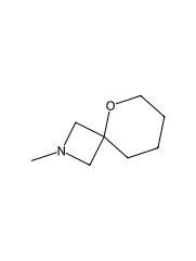 CN1CC2(CCCCO2)C1